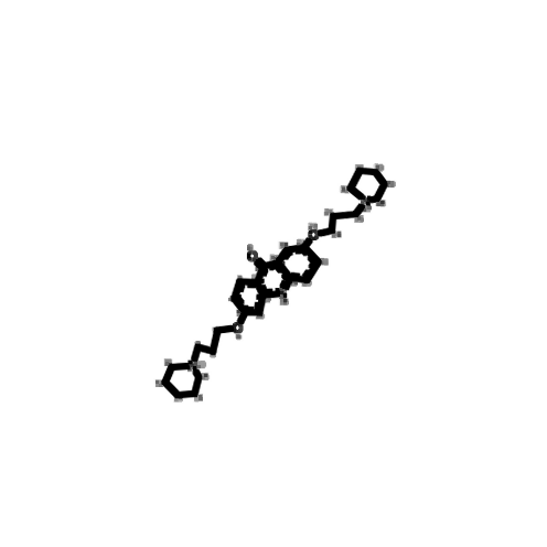 O=c1c2ccc(OCCCN3CCCCC3)cc2sc2ccc(OCCCN3CCCCC3)cc12